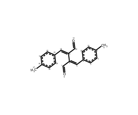 Cc1ccc(/C=C(C=O)\C(C=O)=C/c2ccc(C)cc2)cc1